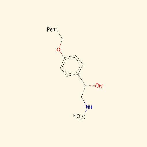 CCCC(C)COc1ccc([C@H](O)CNC(=O)O)cc1